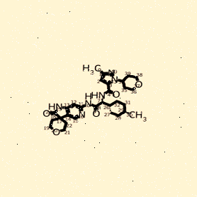 Cc1cc(C(=O)N[C@H](C(=O)Nc2cc3c(cn2)C2(CCOCC2)C(=O)N3)[C@H]2CC[C@H](C)CC2)n(C2CCOCC2)n1